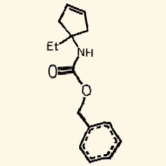 CCC1(NC(=O)OCc2ccccc2)CC=CC1